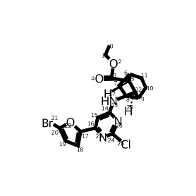 CCOC(=O)[C@@H]1C2CCC(CC2)[C@H]1Nc1cc(-c2ccc(Br)o2)nc(Cl)n1